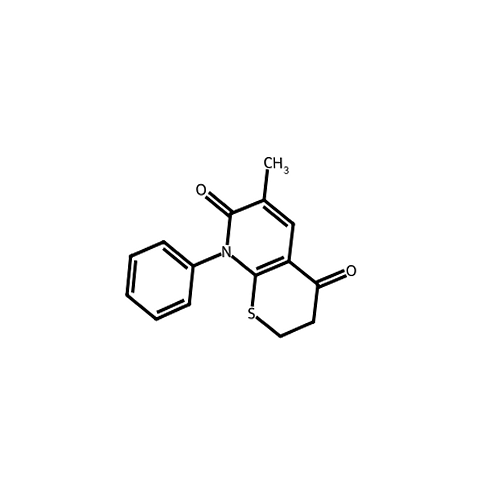 Cc1cc2c(n(-c3ccccc3)c1=O)SCCC2=O